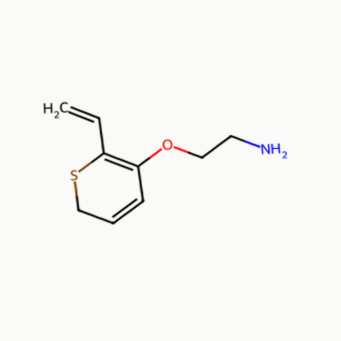 C=CC1=C(OCCN)C=CCS1